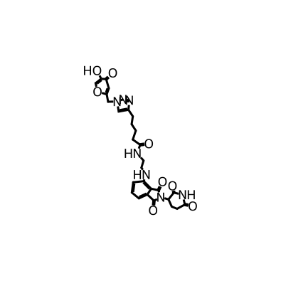 O=C(CCCCc1cn(Cc2cc(=O)c(O)co2)nn1)NCCNc1cccc2c1C(=O)N(C1CCC(=O)NC1=O)C2=O